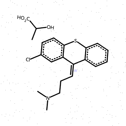 CC(O)C(=O)O.CN(C)CC/C=C1/c2ccccc2Sc2ccc(Cl)cc21